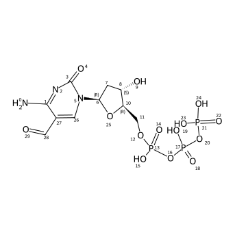 Nc1nc(=O)n([C@H]2C[C@H](O)[C@@H](COP(=O)(O)OP(=O)(O)OP(=O)(O)O)O2)cc1C=O